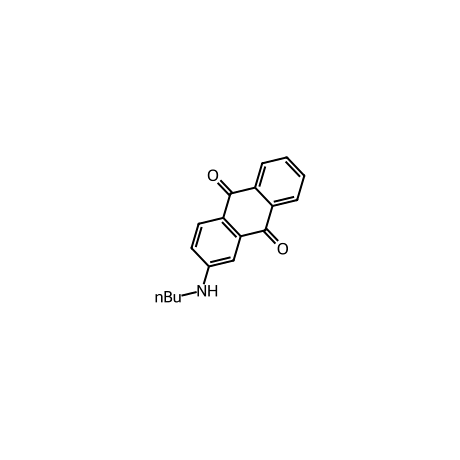 CCCCNc1ccc2c(c1)C(=O)c1ccccc1C2=O